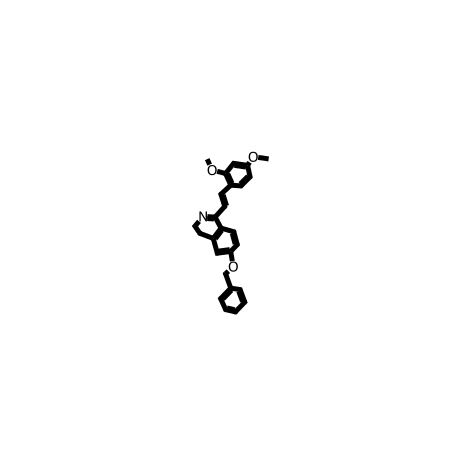 COc1ccc(C=CC2=NCCc3cc(OCc4ccccc4)ccc32)c(OC)c1